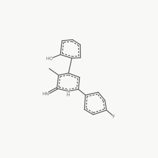 Cc1c(-c2ccccc2O)cc(-c2ccc(F)cc2)[nH]c1=N